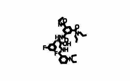 CCCN(CCC)C(=O)c1cc(C(=O)N[C@@H](Cc2cc(F)cc(F)c2)[C@H](O)CNCc2cccc(N(CC)CC)c2)cc(-c2ncco2)c1